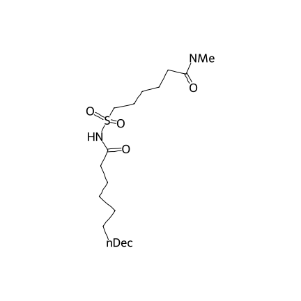 CCCCCCCCCCCCCCCC(=O)NS(=O)(=O)CCCCCC(=O)NC